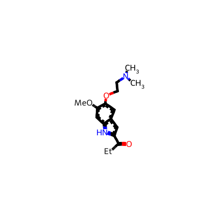 CCC(=O)c1cc2cc(OCCN(C)C)c(OC)cc2[nH]1